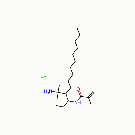 C=C(C)C(=O)NC(CC)C(CCCCCCCCCC)C(C)(C)N.Cl